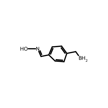 BCc1ccc(/C=N/O)cc1